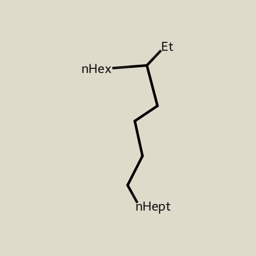 [CH2]CC(CCCCCC)CCCCCCCCCCC